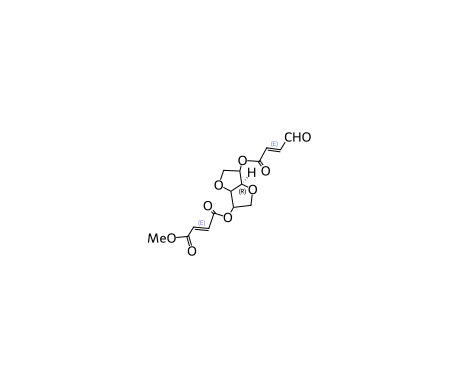 COC(=O)/C=C/C(=O)OC1CO[C@@H]2C(OC(=O)/C=C/C=O)COC12